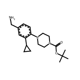 CC(C)(C)OC(=O)N1CCN(c2ccc(CN)cc2C2CC2)CC1